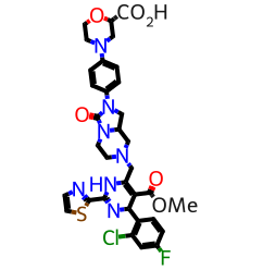 COC(=O)C1=C(CN2CCN3C(=O)N(c4ccc(N5CCOC(C(=O)O)C5)cc4)CC3C2)NC(c2nccs2)=NC1c1ccc(F)cc1Cl